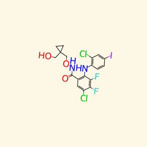 O=C(NOCC1(CO)CC1)c1cc(Cl)c(F)c(F)c1Nc1ccc(I)cc1Cl